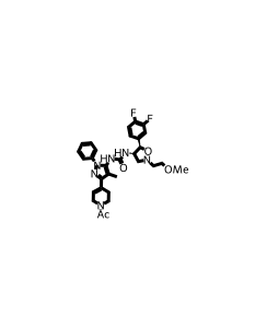 COCCN1C[C@H](NC(=O)Nc2c(C)c(C3=CCN(C(C)=O)CC3)nn2-c2ccccc2)[C@@H](c2ccc(F)c(F)c2)O1